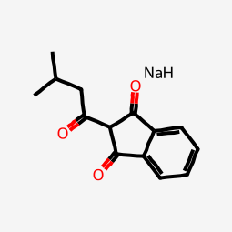 CC(C)CC(=O)C1C(=O)c2ccccc2C1=O.[NaH]